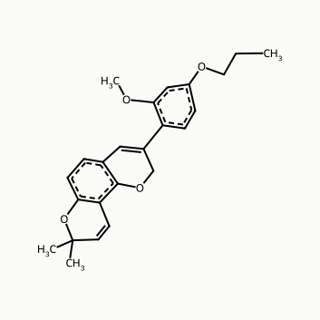 CCCOc1ccc(C2=Cc3ccc4c(c3OC2)C=CC(C)(C)O4)c(OC)c1